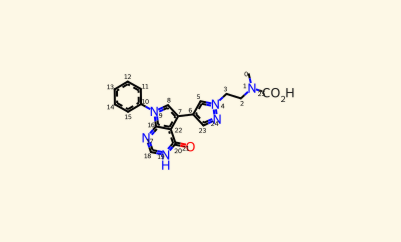 CN(CCn1cc(-c2cn(-c3ccccc3)c3nc[nH]c(=O)c23)cn1)C(=O)O